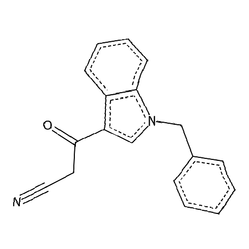 N#CCC(=O)c1cn(Cc2ccccc2)c2ccccc12